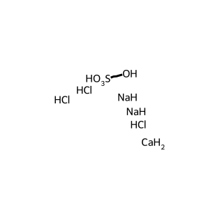 Cl.Cl.Cl.O=S(=O)(O)O.[CaH2].[NaH].[NaH]